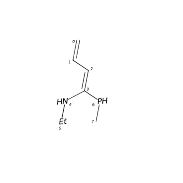 C=C/C=C(\NCC)PC